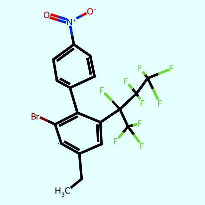 CCc1[c]c(Br)c(-c2ccc([N+](=O)[O-])cc2)c(C(F)(C(F)(F)F)C(F)(F)C(F)(F)F)c1